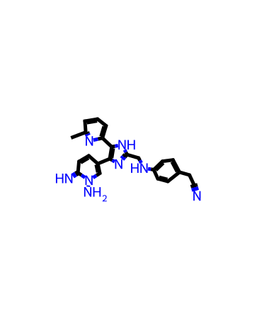 Cc1cccc(-c2[nH]c(CNc3ccc(CC#N)cc3)nc2-c2ccc(=N)n(N)c2)n1